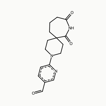 O=Cc1ccc(N2CCC3(CCCC(=O)NC3=O)CC2)nc1